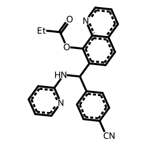 CCC(=O)Oc1c(C(Nc2ccccn2)c2ccc(C#N)cc2)ccc2cccnc12